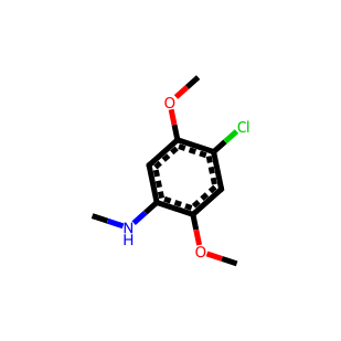 CNc1cc(OC)c(Cl)cc1OC